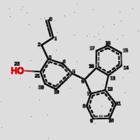 C=CCc1cc(C2c3ccccc3-c3ccccc32)ccc1O